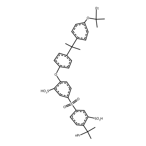 CCCC(C)(C)c1ccc(S(=O)(=O)c2ccc(Oc3ccc(C(C)(C)c4ccc(OC(C)(C)CC)cc4)cc3)c(S(=O)(=O)O)c2)cc1S(=O)(=O)O